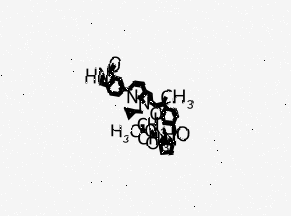 Cc1c(-c2cc3ccc(-c4ccc5c(c4)C(=O)NC5)nc3n2CC2CC2)oc2cc(C(=O)N3CC4CCC3[C@@H]4NC(=O)OC(C)(C)C)ccc12